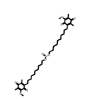 COC1=C(C)C(=O)C(C)=C(CCCCCCCCCCO[N+](=O)OCCCCCCCCCCC2=C(C)C(=O)C(C)=C(OC)C2=O)C1=O